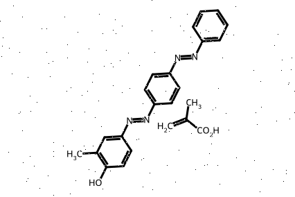 C=C(C)C(=O)O.Cc1cc(/N=N/c2ccc(/N=N/c3ccccc3)cc2)ccc1O